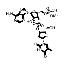 COP(=O)(O)OC[C@H]1O[C@@H](n2cnc3c(N)ncnc32)[C@@H](O)C1OP(=O)(O)O[C@H]1C[C@@H](n2cc(C)c(=O)[nH]c2=O)O[C@H]1CO